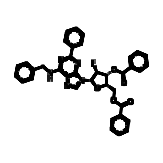 O=C(OC[C@H]1O[C@@H](n2cnc3c(NCc4ccccc4)nc(-c4ccccc4)nc32)[C@@H](F)[C@@H]1OC(=O)c1ccccc1)c1ccccc1